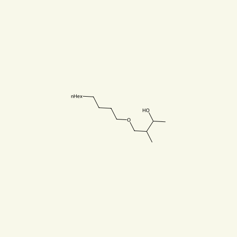 CCCCCCCCCCOCC(C)C(C)O